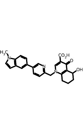 Cn1ccc2cc(-c3ccc(Cn4cc(C(=O)O)c(=O)c5c4CCCC5O)nc3)ccc21